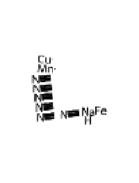 C#N.C#N.C#N.C#N.C#N.C#N.[Cu].[Fe].[Mn].[NaH]